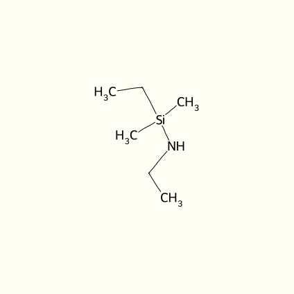 CCN[Si](C)(C)CC